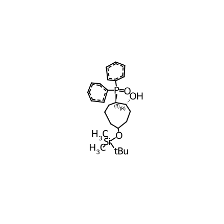 CC(C)(C)[Si](C)(C)OC1CCC[C@@H](P(=O)(c2ccccc2)c2ccccc2)[C@H](O)CC1